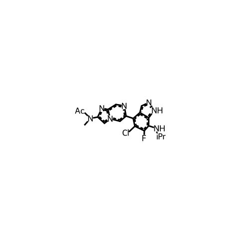 CC(=O)N(C)c1cn2cc(-c3c(Cl)c(F)c(NC(C)C)c4[nH]ncc34)ncc2n1